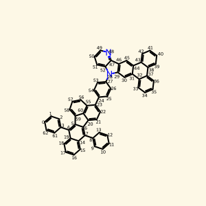 c1ccc(-c2c3c(c(-c4ccccc4)c4ccccc24)-c2ccc(-c4ccc(-n5c6cc7c8ccccc8c8ccccc8c7cc6c6ncccc65)cc4)c4cccc-3c24)cc1